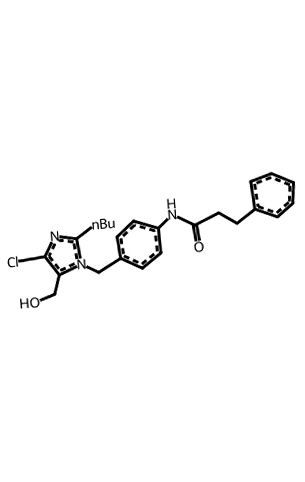 CCCCc1nc(Cl)c(CO)n1Cc1ccc(NC(=O)CCc2ccccc2)cc1